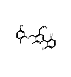 CCc1cccc(CC)c1-c1cc(CN)c(COc2cc(C(C)C)ccc2C)c(C)n1